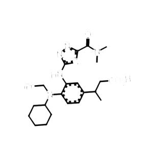 CC(C)CN(c1ccc(C(C)CC(=O)O)cc1Nc1nnc(C(=O)N(C)C)s1)C1CCCCC1